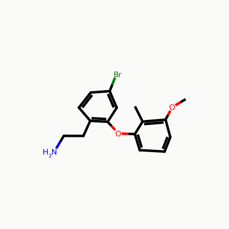 COc1cccc(Oc2cc(Br)ccc2CCN)c1C